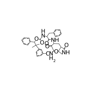 CC(C)(c1cccc(Cl)c1)C(OC(=O)NC(Cc1ccccc1)C(=O)NC(CC1CCNC1=O)C(=O)C(N)=O)c1ccccc1